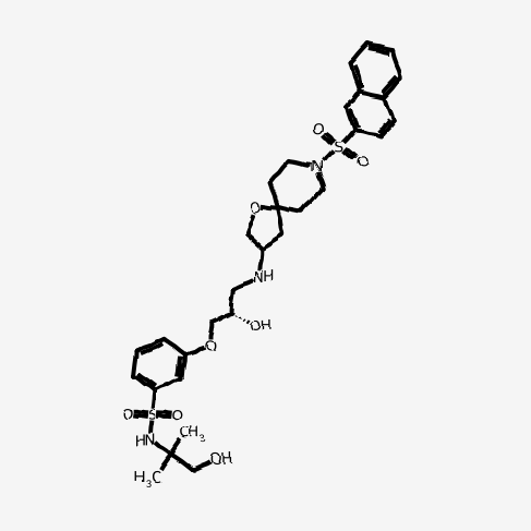 CC(C)(CO)NS(=O)(=O)c1cccc(OC[C@@H](O)CNC2COC3(CCN(S(=O)(=O)c4ccc5ccccc5c4)CC3)C2)c1